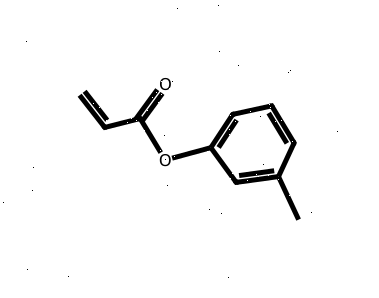 C=CC(=O)Oc1cccc(C)c1